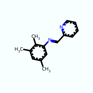 Cc1cc(C)c(C)c(N=Cc2ccccn2)c1